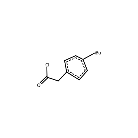 CCC(C)c1ccc(CC(=O)Cl)cc1